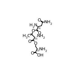 C[C@@H](OC(=O)[C@@H](N)CC(N)=O)[C@H](N)C(=O)OC[C@H](N)C(=O)O